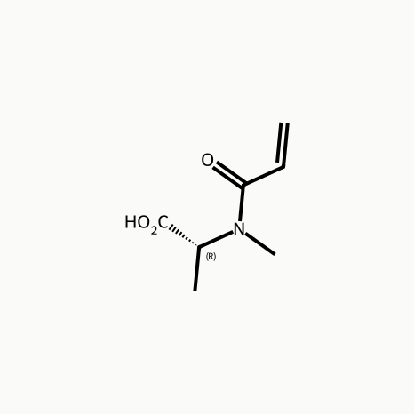 C=CC(=O)N(C)[C@H](C)C(=O)O